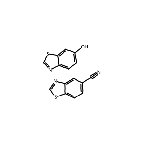 N#Cc1ccc2scnc2c1.Oc1ccc2ncsc2c1